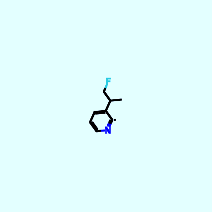 CC(CF)c1[c]nccc1